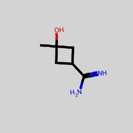 CC1(O)CC(C(=N)N)C1